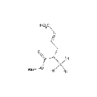 [2H]C([2H])([2H])N(C/C=C/C(=O)O)C(=O)OC(C)(C)C